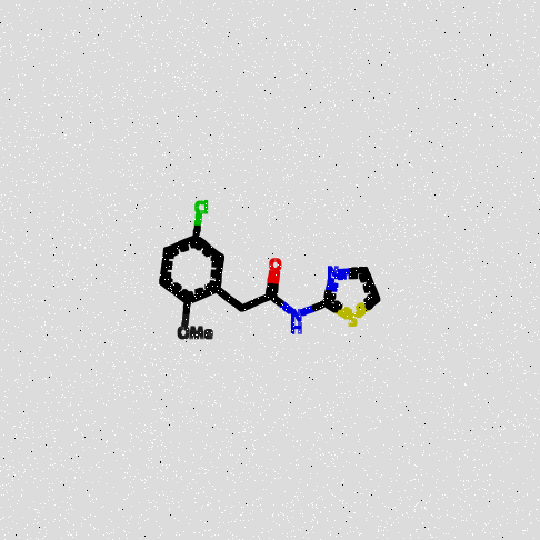 COc1ccc(Cl)cc1CC(=O)Nc1nccs1